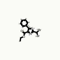 CCOC(=O)c1nc(C(Br)Br)sc1-c1ccccc1